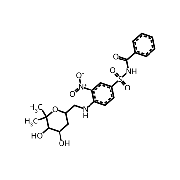 CC1(C)OC(CNc2ccc(S(=O)(=O)NC(=O)c3ccccc3)cc2[N+](=O)[O-])CC(O)C1O